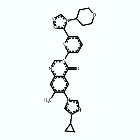 Cc1cc2ncn(-c3cccc(-c4nncn4C4CCOCC4)n3)c(=O)c2cc1-n1cnc(C2CC2)c1